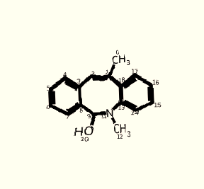 C/C1=C/c2ccccc2C(O)N(C)c2ccccc21